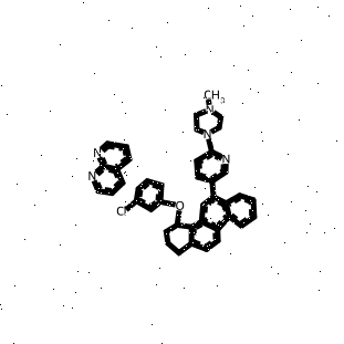 CN1CCN(c2ccc(-c3cc4c5c(ccc4c4ccccc34)CCCC5Oc3cccc(Cl)c3)cn2)CC1.c1cnc2ncccc2c1